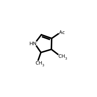 CC(=O)C1=CNC(C)C1C